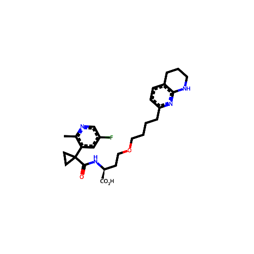 Cc1ncc(F)cc1C1(C(=O)N[C@@H](CCOCCCCc2ccc3c(n2)NCCC3)C(=O)O)CC1